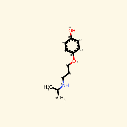 CC(C)NCCCOc1ccc(O)cc1